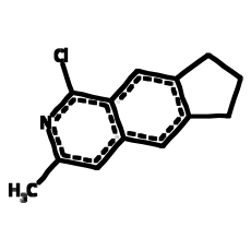 Cc1cc2cc3c(cc2c(Cl)n1)CCC3